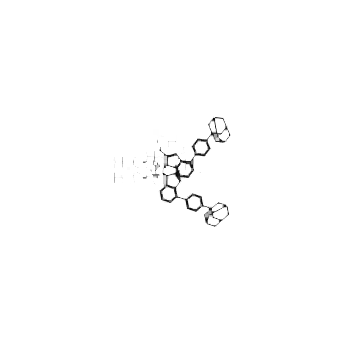 CCC1=Cc2c(-c3ccc(C45CC6CC(CC(C6)C4)C5)cc3)cccc2[CH]1[Zr]([Cl])([Cl])([CH]1C(C)=Cc2c(-c3ccc(C45CC6CC(CC(C6)C4)C5)cc3)cccc21)[SiH](CC)CC